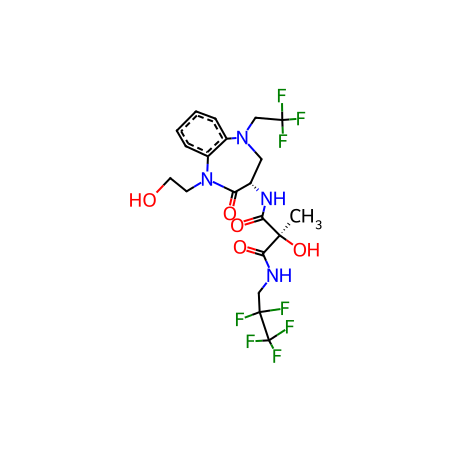 C[C@](O)(C(=O)NCC(F)(F)C(F)(F)F)C(=O)N[C@H]1CN(CC(F)(F)F)c2ccccc2N(CCO)C1=O